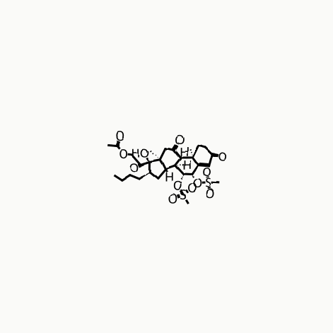 CCCC[C@@H]1C[C@H]2[C@@H]3[C@@H](OS(C)(=O)=O)[C@@H](OS(C)(=O)=O)C4=CC(=O)CC[C@]4(C)[C@H]3C(=O)C[C@]2(C)[C@@]1(O)C(=O)COC(C)=O